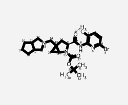 Cc1ccc(Br)nc1NC(=O)[C@@H]1CC2(CN3CC4CCCC4C3)CC2N1C(=O)OC(C)(C)C